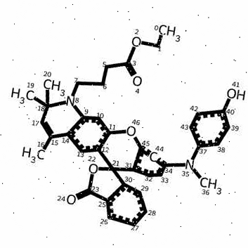 CCOC(=O)CCCN1c2cc3c(cc2C(C)=CC1(C)C)C1(OC(=O)c2ccccc21)c1ccc(N(C)c2ccc(O)cc2)cc1O3